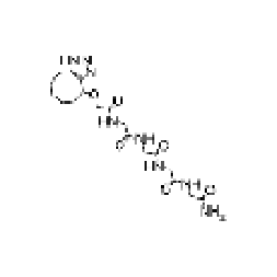 NC(=O)CNC(=O)CNC(=O)CNC(=O)CNC(=O)COC1CCCCCc2[nH]nnc21